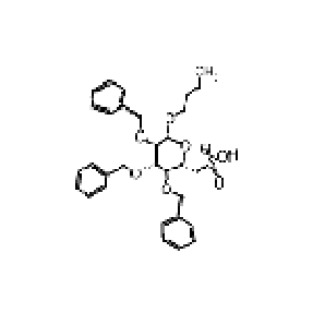 CCCCO[C@H]1O[C@H](CS(=O)(=O)O)C(OCc2ccccc2)[C@H](OCc2ccccc2)[C@H]1OCc1ccccc1